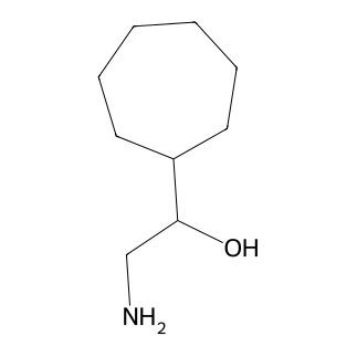 NCC(O)C1CCCCCC1